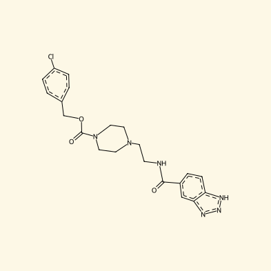 O=C(NCCN1CCN(C(=O)OCc2ccc(Cl)cc2)CC1)c1ccc2[nH]nnc2c1